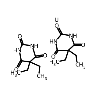 CCC1(CC)C(=O)NC(=O)NC1=O.CCC1(CC)C(=O)NC(=O)NC1=O.[U]